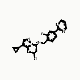 Fc1cc(-c2ncccn2)ccc1CNc1cc(Cl)nc2c(C3CC3)cnn12